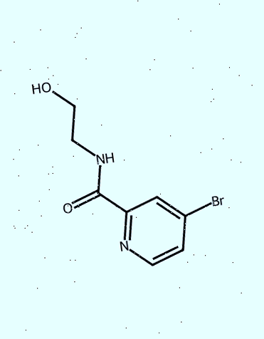 O=C(NCCO)c1cc(Br)ccn1